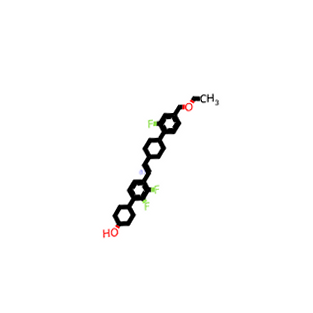 CCOCc1ccc(C2CCC(/C=C/c3ccc(C4CCC(O)CC4)c(F)c3F)CC2)c(F)c1